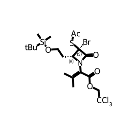 CC(=O)S[C@@]1(Br)C(=O)N(C(C(=O)OCC(Cl)(Cl)Cl)=C(C)C)[C@@H]1CCO[Si](C)(C)C(C)(C)C